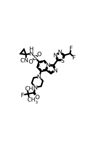 CC(C)(F)C(=O)N1CCN(c2cc(S(=O)(=O)NC3(C#N)CC3)cn3c(-c4nnc(C(F)F)s4)ncc23)CC1